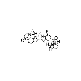 Cn1c(-c2cc3ccc4c(c3n2CC2CC2)NCC[S+]4[O-])nc2cc(C(=O)N3C[C@H]4CC[C@@H]3[C@@H]4N)cc(F)c21